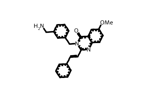 COc1ccc2nc(C=Cc3ccccc3)n(Cc3cccc(CN)c3)c(=O)c2c1